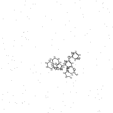 C[C@H](Oc1cc(Oc2cnccn2)nc(-c2noc3c2CCC[C@@]32CCCCC2=O)n1)[C@@H]1CCCN1C